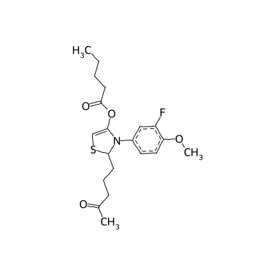 CCCCC(=O)OC1=CSC(CCCC(C)=O)N1c1ccc(OC)c(F)c1